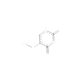 NSc1c[nH]c(=O)[nH]c1=O